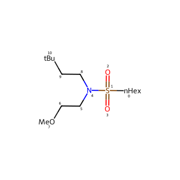 CCCCCCS(=O)(=O)N(CCOC)CCC(C)(C)C